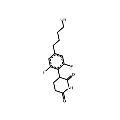 O=C1CCC(c2c(F)cc(CCCCO)cc2F)C(=O)N1